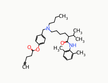 C#CCCC(=O)Oc1ccc(CN(CCCC)CCCCC(C(=O)Nc2c(C)cccc2C)C(C)C)cc1